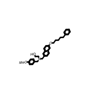 COc1ccc(CN(CCO)Cc2ccc3cc(OCCCCCc4ccccc4)ccc3c2)cc1